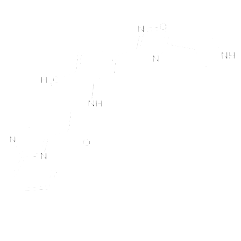 Cc1ccc(-c2noc(C3CNC3)n2)cc1NCC(=O)c1cnc2ccccn12